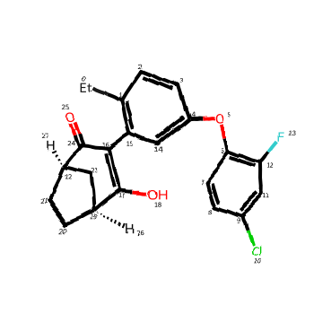 CCc1ccc(Oc2ccc(Cl)cc2F)cc1C1=C(O)[C@H]2CC[C@H](C2)C1=O